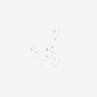 CCN(CC)c1nc(-c2cc(OC)ccc2OC)nc(N2CCN(c3ccccn3)CC2)n1